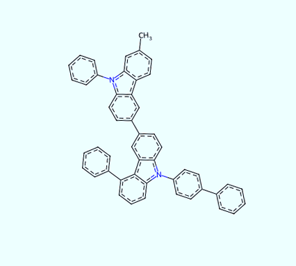 Cc1ccc2c3cc(-c4ccc5c(c4)c4c(-c6ccccc6)cccc4n5-c4ccc(-c5ccccc5)cc4)ccc3n(-c3ccccc3)c2c1